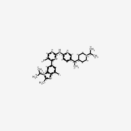 Cc1nc2c(F)cc(-c3nc(Nc4ccc([C@H](C)C5CCN(C(C)C)CC5)cn4)ncc3F)cc2n1C(C)C